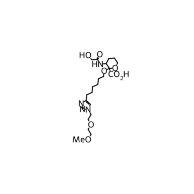 COCCOCCn1cc(CCCCCCOC2(C(=O)O)OCCCC2NC(=O)CO)nn1